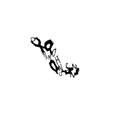 Cc1ccc(NC(=O)c2cccc(C3(C#N)CCOCC3)c2)cc1NC(=O)c1cc2nccnc2s1